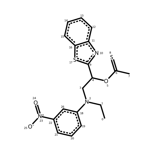 CCN(CC(OC(C)=S)c1nc2ccccc2s1)c1cccc([N+](=O)[O-])c1